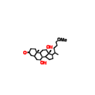 COCCCC(C)C1CCC2C3C(C[C@H](O)[C@]12C)[C@@]1(C)CCC(=O)CC1C[C@H]3O